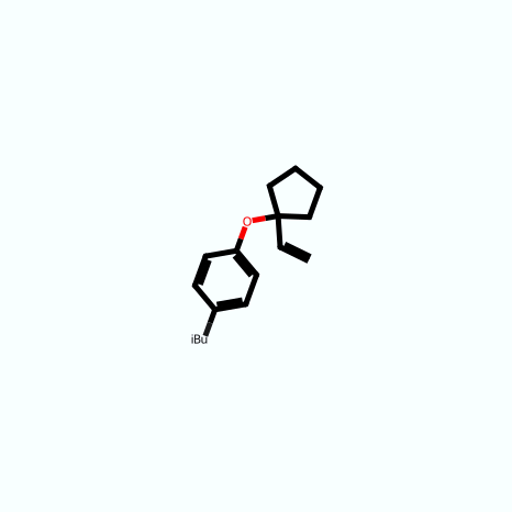 C=CC1(Oc2ccc(C(C)CC)cc2)CCCC1